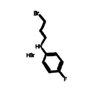 Br.Fc1ccc(NCCCBr)cc1